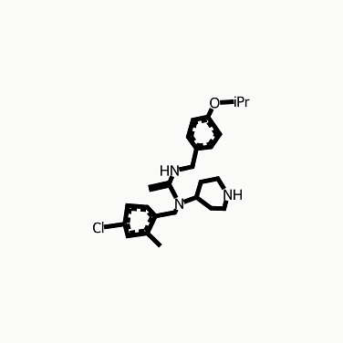 C=C(NCc1ccc(OC(C)C)cc1)N(Cc1ccc(Cl)cc1C)C1CCNCC1